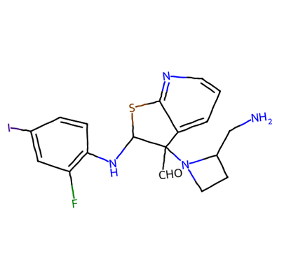 NCC1CCN1C1(C=O)c2cccnc2SC1Nc1ccc(I)cc1F